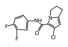 O=C(Nc1ccc(F)c(F)c1)c1c(Cl)cc2n1CCC2